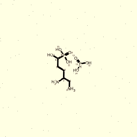 NCC(N)CCC(O)P(=O)(O)O.O=[PH](O)O